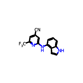 N#Cc1cc(Nc2cccc3[nH]ccc23)nc(C(F)(F)F)c1